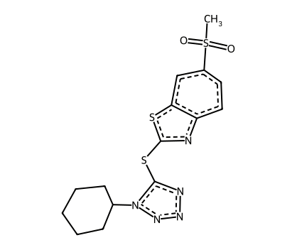 CS(=O)(=O)c1ccc2nc(Sc3nnnn3C3CCCCC3)sc2c1